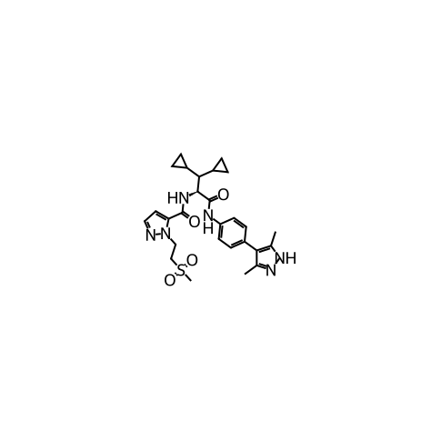 Cc1n[nH]c(C)c1-c1ccc(NC(=O)[C@@H](NC(=O)c2ccnn2CCS(C)(=O)=O)C(C2CC2)C2CC2)cc1